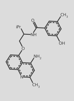 Cc1cc(O)cc(C(=O)NC(COc2cccc3nc(C)cc(N)c23)C(C)C)c1